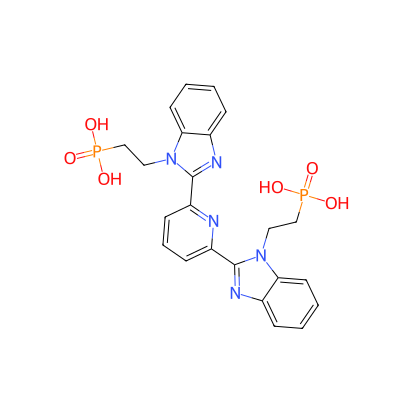 O=P(O)(O)CCn1c(-c2cccc(-c3nc4ccccc4n3CCP(=O)(O)O)n2)nc2ccccc21